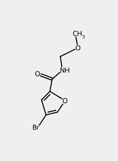 COCNC(=O)c1cc(Br)co1